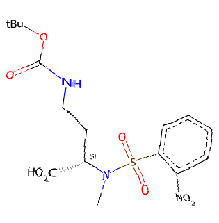 CN([C@@H](CCNC(=O)OC(C)(C)C)C(=O)O)S(=O)(=O)c1ccccc1[N+](=O)[O-]